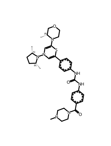 C[C@@H]1COCCN1C1=CN(N2[C@H](C)CC[C@@H]2C)C=C(c2ccc(NC(=O)Nc3ccc(C(=O)N4CCN(C)CC4)cc3)cc2)S1